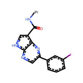 CC(C)NC(=O)c1c[nH]c2ncc(-c3cccc(I)c3)nc12